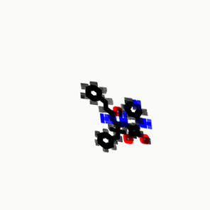 CC(C)(Cc1ccccc1)C(NC(=O)CCc1ccccc1)Nc1c(Nc2cccnc2)c(=O)c1=O